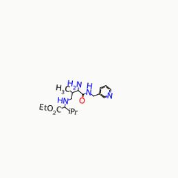 CCOC(=O)C(NCC(C)C(N)C(=O)NCc1cccnc1)C(C)C